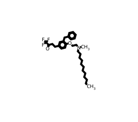 CCCCCCCCCCCCN(C)CCOc1ccc(CCC(=O)C(F)(F)F)cc1Cc1ccccc1